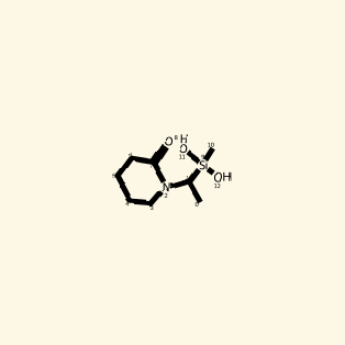 CC(N1CCCCC1=O)[Si](C)(O)O